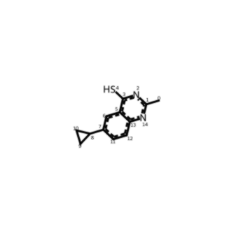 Cc1nc(S)c2cc(C3CC3)ccc2n1